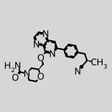 C[C@@H](C#N)Cc1ccc(-c2cc3nccnc3c(OC[C@@H]3CN(C(N)=O)CCO3)n2)cc1